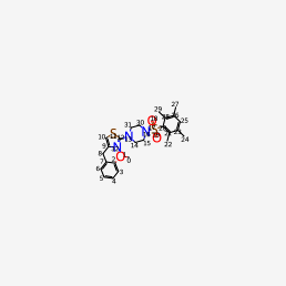 COc1ccccc1Cc1csc(N2CCN(S(=O)(=O)c3c(C)c(C)cc(C)c3C)CC2)n1